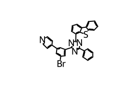 Brc1cc(-c2ccncc2)cc(-c2nc(-c3ccccc3)nc(-c3cccc4c3sc3ccccc34)n2)c1